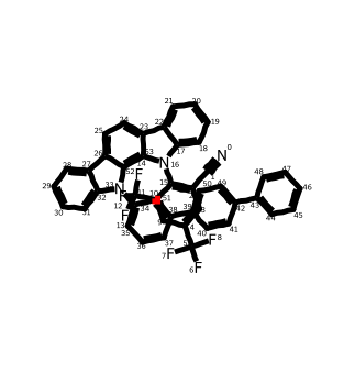 N#Cc1cc(C(F)(F)F)cc(C(F)(F)F)c1-n1c2ccccc2c2ccc3c4ccccc4n(-c4cccc(-c5ccc(-c6ccccc6)cc5)c4)c3c21